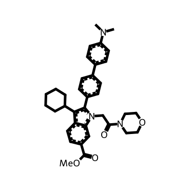 COC(=O)c1ccc2c(C3CCCCC3)c(-c3ccc(-c4ccc(N(C)C)cc4)cc3)n(CC(=O)N3CCOCC3)c2c1